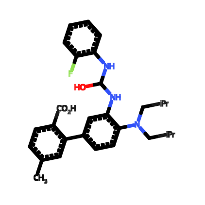 Cc1ccc(C(=O)O)c(-c2ccc(N(CC(C)C)CC(C)C)c(NC(O)Nc3ccccc3F)c2)c1